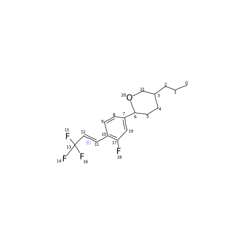 CCCC1CCC(c2ccc(/C=C/C(F)(F)F)c(F)c2)OC1